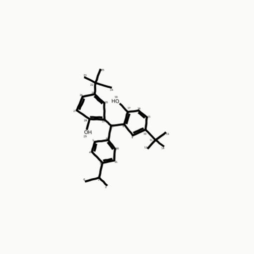 CC(C)c1ccc(C(c2cc(C(C)(C)C)ccc2O)c2cc(C(C)(C)C)ccc2O)cc1